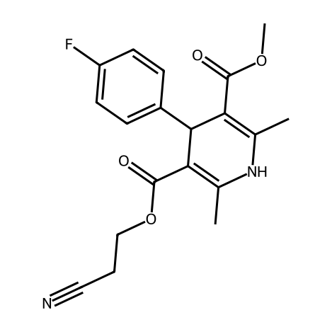 COC(=O)C1=C(C)NC(C)=C(C(=O)OCCC#N)C1c1ccc(F)cc1